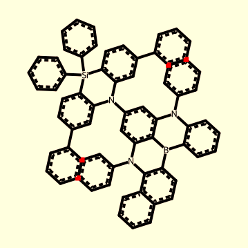 c1ccc(-c2ccc3c(c2)N(c2cc4c5c(c2)N(c2ccccc2)c2c(ccc6ccccc26)B5c2ccccc2N4c2ccccc2)c2cc(-c4ccccc4)ccc2[Si]3(c2ccccc2)c2ccccc2)cc1